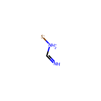 N=C[NH2+][S-]